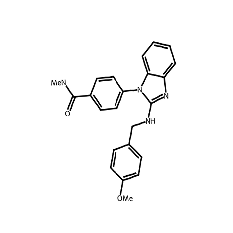 CNC(=O)c1ccc(-n2c(NCc3ccc(OC)cc3)nc3ccccc32)cc1